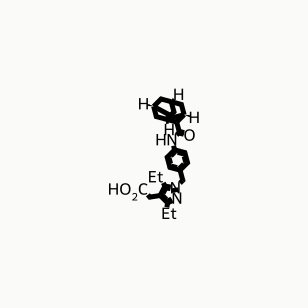 CCc1nn(Cc2ccc(NC(=O)C3[C@H]4C[C@@H]5C[C@@H](C[C@H]3C5)C4)cc2)c(CC)c1CC(=O)O